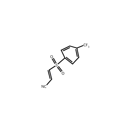 N#C/C=C/S(=O)(=O)c1ccc(C(F)(F)F)cc1